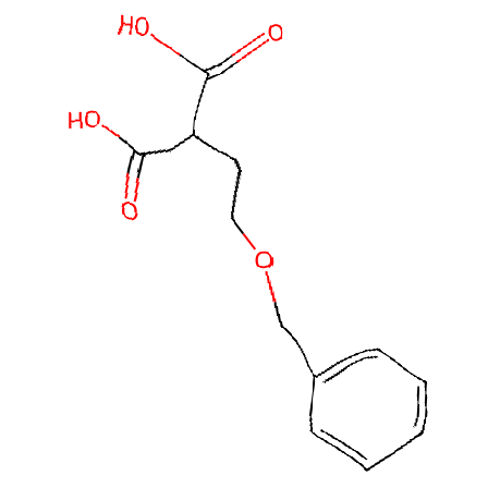 O=C(O)C(CCOCc1ccccc1)C(=O)O